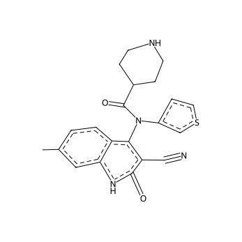 Cc1ccc2c(N(C(=O)C3CCNCC3)c3ccsc3)c(C#N)c(=O)[nH]c2c1